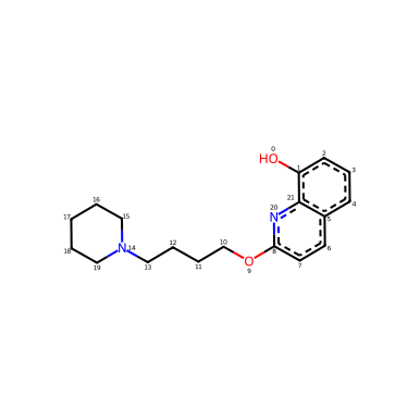 Oc1cccc2ccc(OCCCCN3CCCCC3)nc12